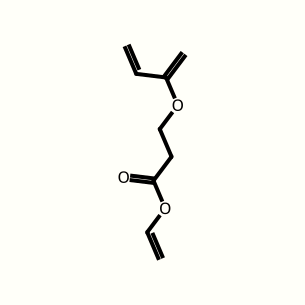 C=COC(=O)CCOC(=C)C=C